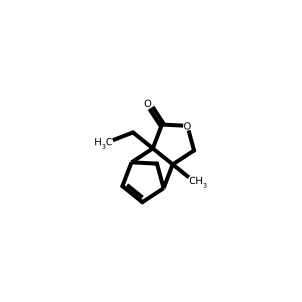 CCC12C(=O)OCC1(C)C1C=CC2C1